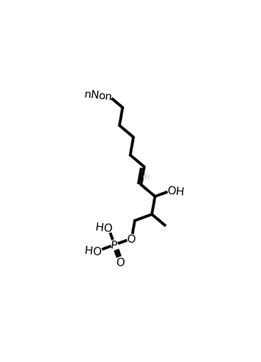 CCCCCCCCCCCCC/C=C/C(O)C(C)COP(=O)(O)O